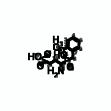 COc1ccccc1CP(=O)(O)C(N)CCS(=O)(=O)O